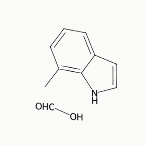 Cc1cccc2cc[nH]c12.O=CO